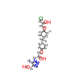 Cc1cc(C(C)(C)c2ccc(OCC(O)Cn3nnc(CO)c3I)cc2)ccc1OCC(O)CCl